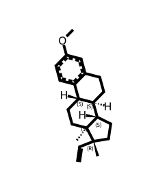 C=C[C@@]1(C)CC[C@H]2[C@@H]3CCc4cc(OC)ccc4[C@H]3CC[C@@]21C